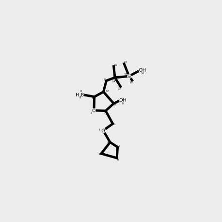 BC1OC(COC2CCC2)C(O)C1CC(C)(C)[Si](C)(C)O